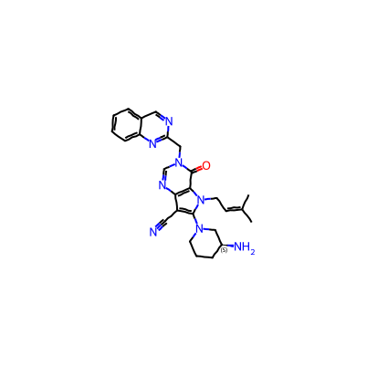 CC(C)=CCn1c(N2CCC[C@H](N)C2)c(C#N)c2ncn(Cc3ncc4ccccc4n3)c(=O)c21